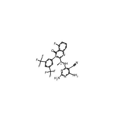 C[C@H](Nc1nc(N)nc(N)c1C#N)c1nc2cccc(F)c2c(=O)n1-c1cc(C(F)(F)F)cc(C(F)(F)F)c1